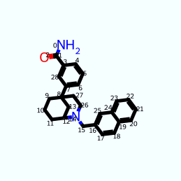 NC(=O)c1cccc(C23CCCC(C2)N(Cc2ccc4ccccc4c2)CC3)c1